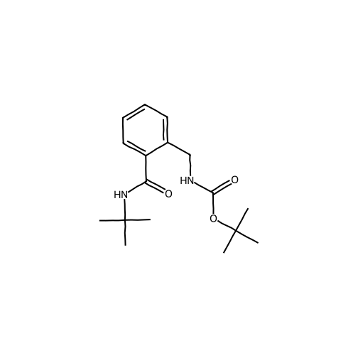 CC(C)(C)NC(=O)c1ccccc1CNC(=O)OC(C)(C)C